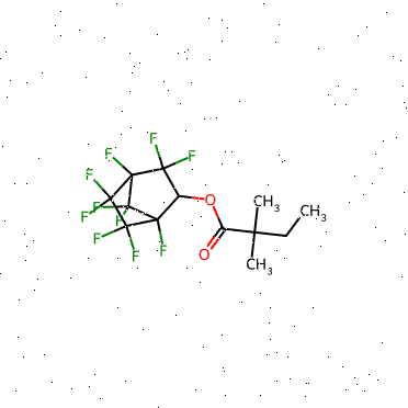 CCC(C)(C)C(=O)OC1C(F)(F)C2(F)C(F)(F)C(F)(F)C1(F)C2(F)F